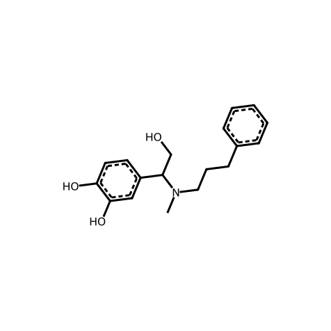 CN(CCCc1ccccc1)C(CO)c1ccc(O)c(O)c1